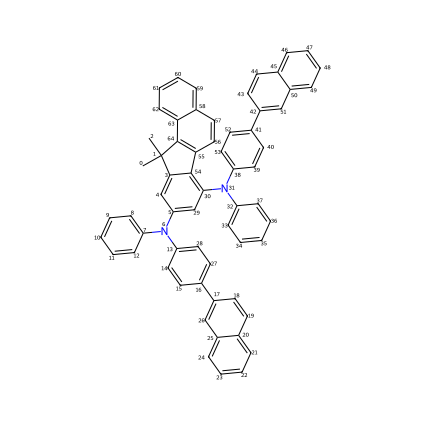 CC1(C)c2cc(N(c3ccccc3)c3ccc(-c4ccc5ccccc5c4)cc3)cc(N(c3ccccc3)c3ccc(-c4ccc5ccccc5c4)cc3)c2-c2ccc3ccccc3c21